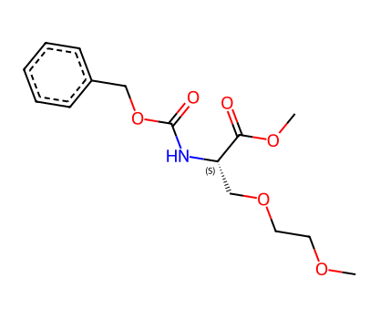 COCCOC[C@H](NC(=O)OCc1ccccc1)C(=O)OC